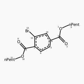 CCCCCOC(=O)c1ccc(C(=O)OCCCCC)c(Br)c1